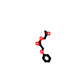 c1ccc(OCC2OC2OCC2CO2)cc1